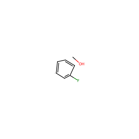 CO.Fc1c[c]ccc1